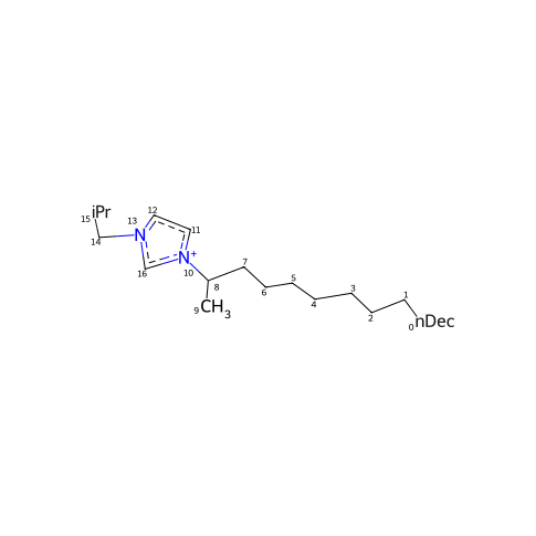 CCCCCCCCCCCCCCCCCC(C)[n+]1ccn(CC(C)C)c1